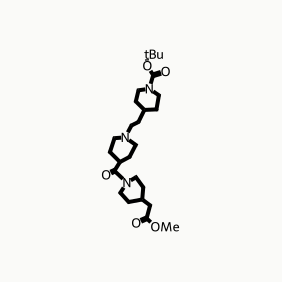 COC(=O)CC1CCN(C(=O)C2CCN(CCC3CCN(C(=O)OC(C)(C)C)CC3)CC2)CC1